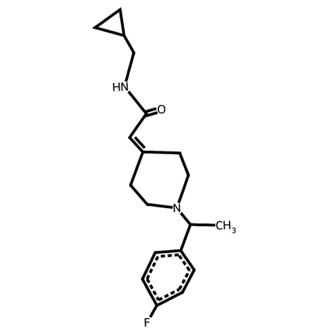 CC(c1ccc(F)cc1)N1CCC(=CC(=O)NCC2CC2)CC1